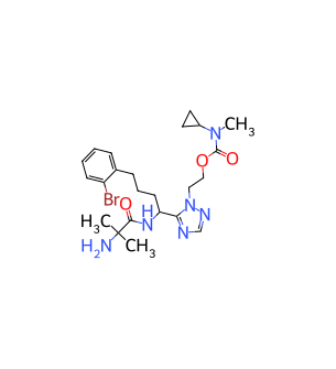 CN(C(=O)OCCn1ncnc1C(CCCc1ccccc1Br)NC(=O)C(C)(C)N)C1CC1